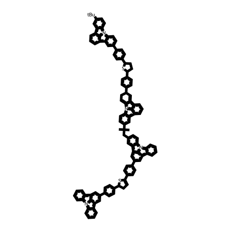 CC(C)(C)c1ccc2c(c1)c1cccc3c4cc(-c5ccc(C6CCC(c7ccc(C8C=c9c(n%10c%11ccc(C(C)(C)Cc%12ccc%13c(c%12)c%12cc(-c%14ccc(C%15=CCC(c%16ccc(-c%17cc%18c%19ccccc%19n%19c%20ccccc%20c(c%17)c%18%19)cc%16)S%15)cc%14)cc%14c%15ccccc%15n%13c%14%12)cc%11c%11cccc9c%11%10)=CC8)cc7)S6)cc5)ccc4n2c31